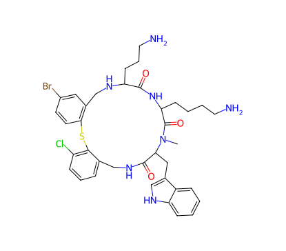 CN1C(=O)C(CCCCN)NC(=O)C(CCCN)NCc2cc(Br)ccc2Sc2c(Cl)cccc2CNC(=O)C1Cc1c[nH]c2ccccc12